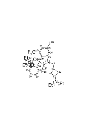 CCN(CC)C1CC(CN2C(=O)C(O[Si](CC)(CC)CC)(c3c(F)cccc3Cl)c3c2cc(I)cc3C(F)(F)F)C1